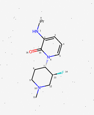 CC(C)Nc1cccn([C@H]2CCN(C)C[C@@H]2F)c1=O